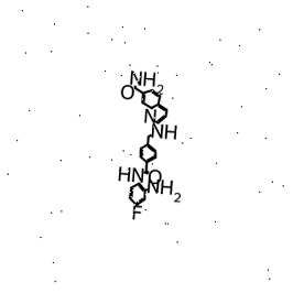 NC(=O)c1ccc2ccc(NCc3ccc(C(=O)Nc4ccc(F)cc4N)cc3)nc2c1